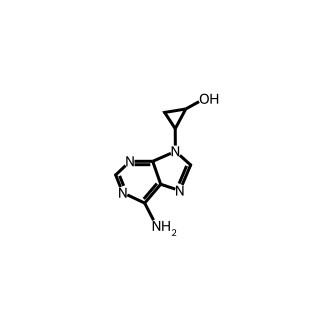 Nc1ncnc2c1ncn2C1CC1O